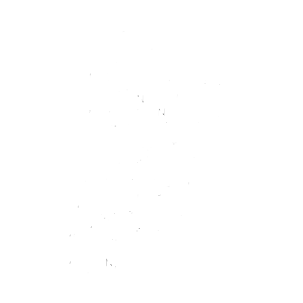 c1ccc(-c2cc(-c3ccccc3-c3ccccc3)nc(-c3ccc4c(c3)C(c3ccccc3)(c3ccccc3)c3cc(-c5cccnc5)ccc3-4)n2)cc1